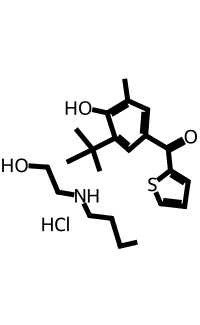 CCCCNCCO.Cc1cc(C(=O)c2cccs2)cc(C(C)(C)C)c1O.Cl